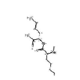 CCCC[C@H](NC)C(=O)N[C@@H](CCCN)C(=O)O